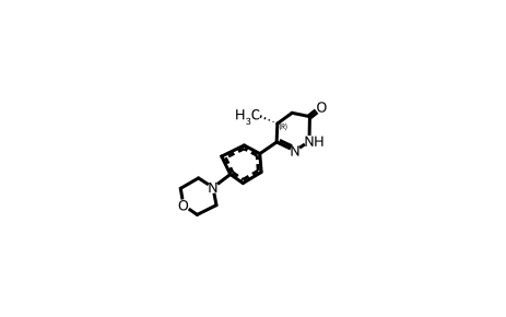 C[C@@H]1CC(=O)NN=C1c1ccc(N2CCOCC2)cc1